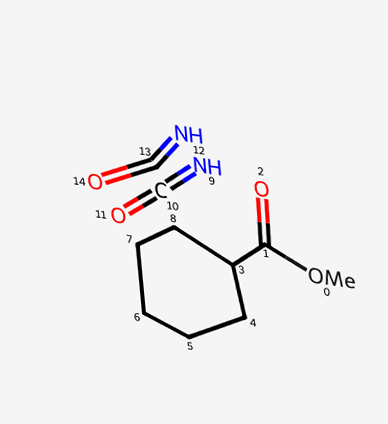 COC(=O)C1CCCCC1.N=C=O.N=C=O